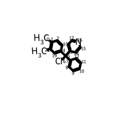 Cc1ccc(C(Cl)(c2ccccc2)c2ccncc2)cc1C